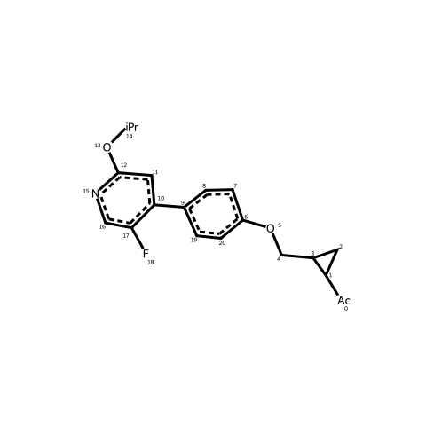 CC(=O)C1CC1COc1ccc(-c2cc(OC(C)C)ncc2F)cc1